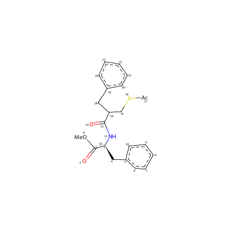 COC(=O)[C@H](Cc1ccccc1)NC(=O)C(CSC(C)=O)Cc1ccccc1